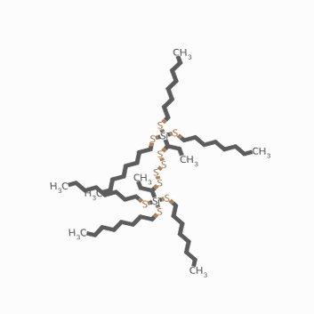 CCCCCCCCS[Si](SCCCCCCCC)(SCCCCCCCC)C(CC)SSSSC(CC)[Si](SCCCCCCCC)(SCCCCCCCC)SCCCCCCCC